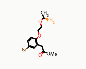 COC(=O)Cc1cc(Br)ccc1OCCOC(C)P